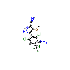 CSc1c(C#N)n[nH]c1-c1c(Cl)cc(C(F)(F)F)c(N)c1Cl